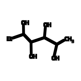 CCC(O)C(O)C(O)C(C)O